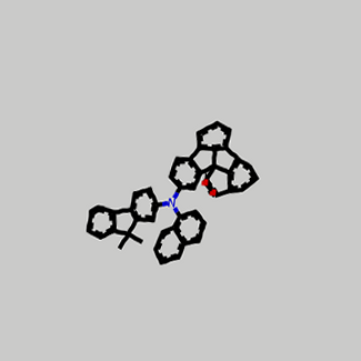 CC1(C)c2ccccc2-c2ccc(N(c3ccc4c(c3)C35c6ccccc6-c6cccc(c63)-c3cccc-4c35)c3cccc4ccccc34)cc21